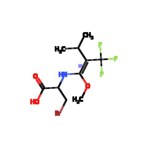 CO/C(NC(CBr)C(=O)O)=C(/C(C)C)C(F)(F)F